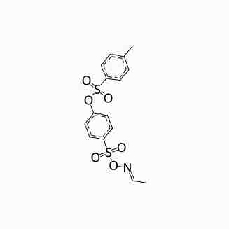 CC=NOS(=O)(=O)c1ccc(OS(=O)(=O)c2ccc(C)cc2)cc1